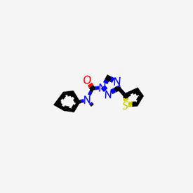 CN(C(=O)n1cnc(-c2cccs2)n1)c1ccccc1